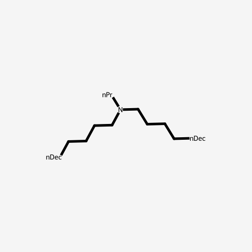 CCCCCCCCCCCCCCN(CCC)CCCCCCCCCCCCCC